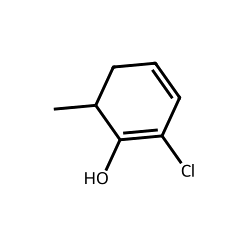 CC1CC=CC(Cl)=C1O